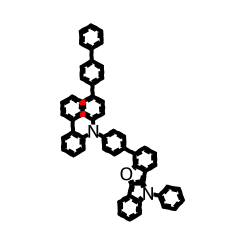 c1ccc(-c2ccc(-c3ccc(N(c4ccc(-c5cccc6c5oc5c7ccccc7n(-c7ccccc7)c65)cc4)c4ccccc4-c4ccccc4)cc3)cc2)cc1